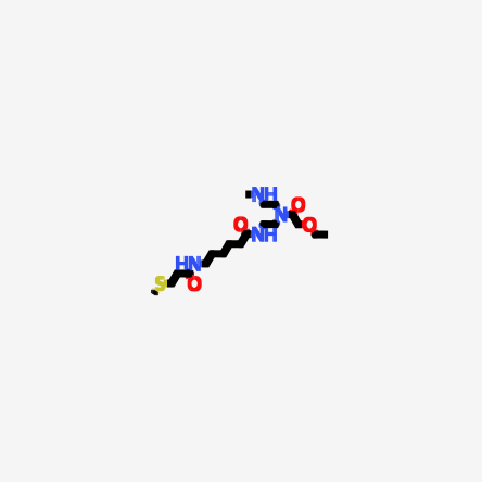 CCOCC(=O)N(CCNC)CCNC(=O)CCCCCNC(=O)CCSC